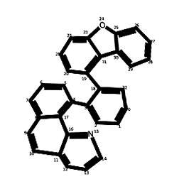 c1ccc(-c2cccc3ccc4cccnc4c23)c(-c2cccc3oc4ccccc4c23)c1